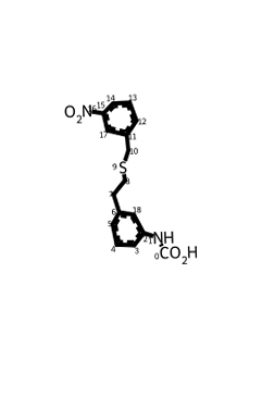 O=C(O)Nc1cccc(CCSCc2cccc([N+](=O)[O-])c2)c1